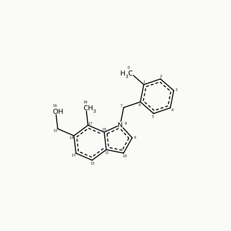 Cc1ccccc1Cn1ccc2ccc(CO)c(C)c21